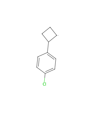 Clc1ccc(C2[CH]CC2)cc1